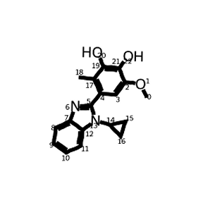 COc1cc(-c2nc3ccccc3n2C2CC2)c(C)c(O)c1O